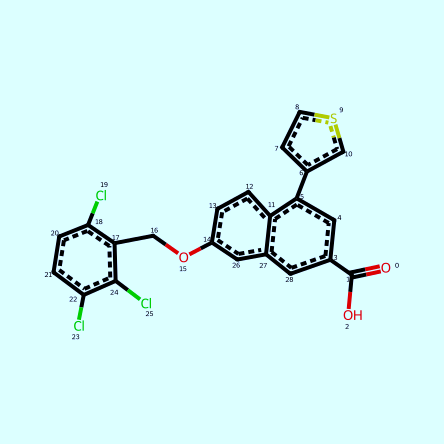 O=C(O)c1cc(-c2ccsc2)c2ccc(OCc3c(Cl)ccc(Cl)c3Cl)cc2c1